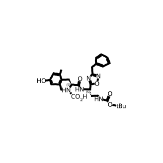 Cc1cc(O)cc(C)c1C[C@H](NC(=O)O)C(=O)N[C@@H](CCNC(=O)OC(C)(C)C)c1nc(Cc2ccccc2)no1